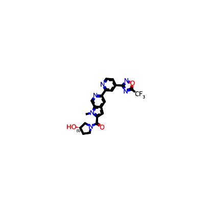 Cn1c(C(=O)N2CC[C@H](O)C2)cc2cc(-c3cc(-c4noc(C(F)(F)F)n4)ccn3)ncc21